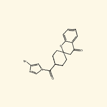 O=C1CC2(CCC(C(=O)n3cnc(Br)c3)CC2)Oc2ccccc21